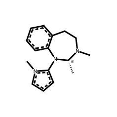 C[C@H]1N(C)CCc2ccccc2N1c1cccn1C